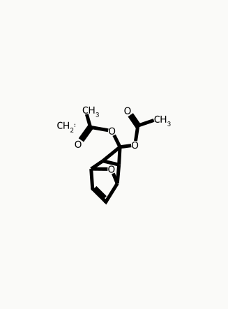 CC(=O)OC1(OC(C)=O)C2C3C=CC(O3)C21.[CH2]